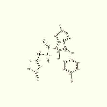 Cc1ccc2c(c1)c(C(=O)C(=O)NC1=CC(=O)OC1)c(C)n2Cc1ccc(Cl)cc1